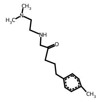 Cc1ccc(CCCC(=O)CNCCN(C)C)cc1